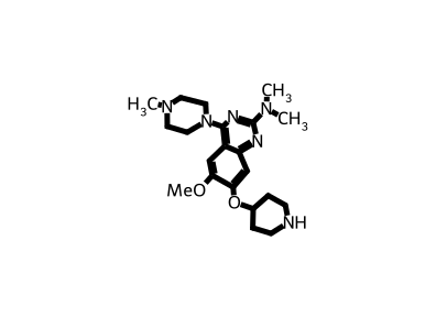 COc1cc2c(N3CCN(C)CC3)nc(N(C)C)nc2cc1OC1CCNCC1